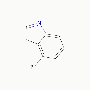 CC(C)c1cccc2c1CC=N2